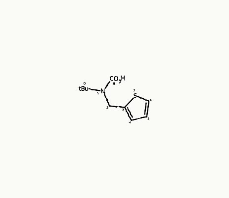 CC(C)(C)N(Cc1cccs1)C(=O)O